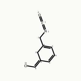 O=C=NCC1=CC=CC(=CCl)C1